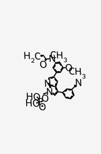 C=CC(=O)N(C)c1cc(OC)cc(-c2cnc3c(c2)c(-c2cccc(C#N)c2)cn3COP(=O)(O)O)c1